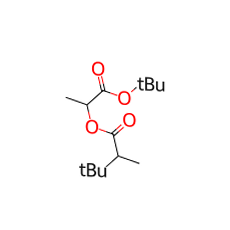 CC(OC(=O)C(C)C(C)(C)C)C(=O)OC(C)(C)C